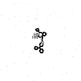 N=C1CN(CCCN2CCC(=C(c3ccccc3)c3ccccc3)CC2)c2ccccc2CC(C2=CCCS2)N1